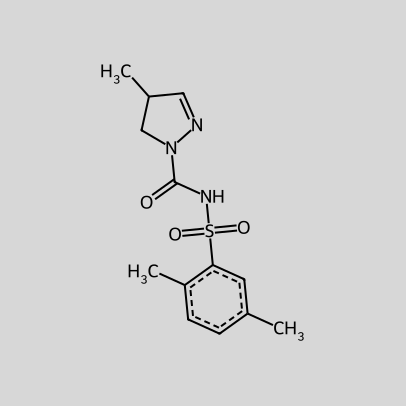 Cc1ccc(C)c(S(=O)(=O)NC(=O)N2CC(C)C=N2)c1